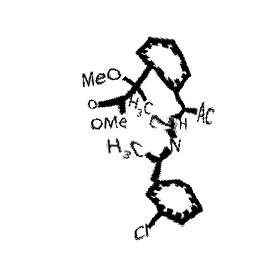 COC(=O)C(C)(OC)c1ccccc1C(NN=C(C)c1cccc(Cl)c1)C(C)=O